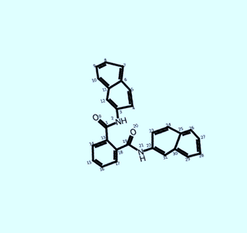 O=C(Nc1ccc2ccccc2c1)c1ccccc1C(=O)Nc1ccc2ccccc2c1